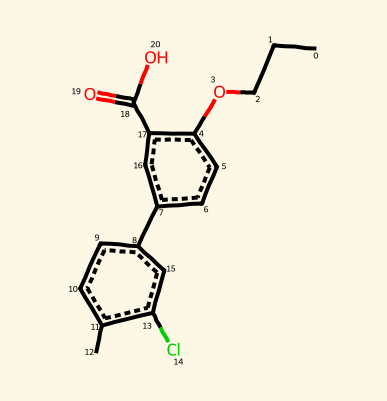 CCCOc1ccc(-c2ccc(C)c(Cl)c2)cc1C(=O)O